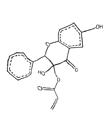 C=CC(=O)OC1(O)C(=O)c2cc(O)ccc2OC1c1ccccc1